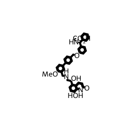 COc1ccc(-c2ccc(COc3cccc([C@@H](NC(=O)O)c4ccccc4)c3)cc2)cc1CNCC(O)c1ccc(O)c2[nH]c(=O)ccc12